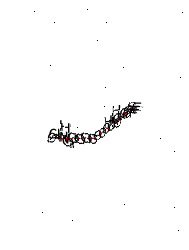 CC(=O)c1ccc(CNC(=O)CCOCCOCCOCCOCCOCCOCCOCCOCCNC(=O)[C@]2(O)CC/C=C/[C@H](OC(=O)Oc3c(F)c(F)c(F)c(F)c3F)CC2)cc1